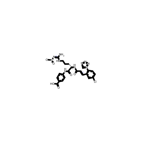 N/C(=N/[N+](=O)[O-])NCCC[C@H](NC(=O)/C=C/c1cc(Cl)ccc1-n1cnnn1)C(=O)Nc1ccc(C(=O)O)cc1